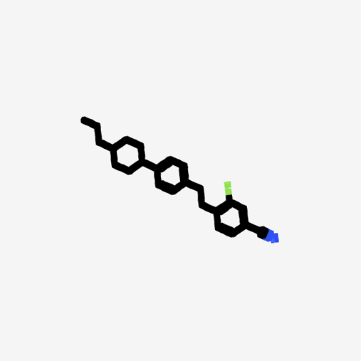 CCCC1CCC(c2ccc(CCc3ccc(C#N)cc3F)cc2)CC1